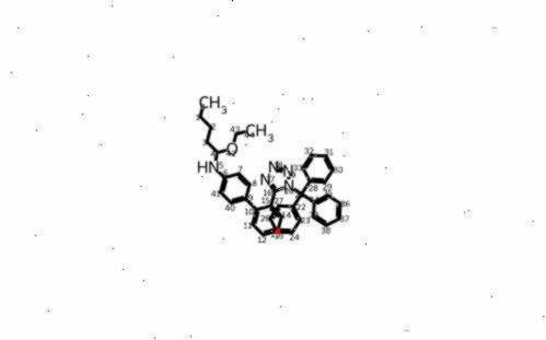 CCCCC(Nc1ccc(-c2ccccc2-c2nnnn2C(c2ccccc2)(c2ccccc2)c2ccccc2)cc1)OCC